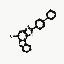 Clc1cc2nc(-c3ccc(-c4ccccc4)cc3)oc2c2c1oc1ccccc12